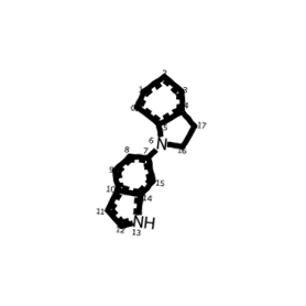 [c]1cccc2c1N(c1ccc3cc[nH]c3c1)CC2